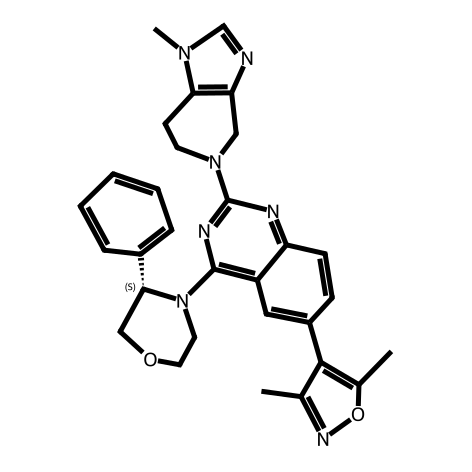 Cc1noc(C)c1-c1ccc2nc(N3CCc4c(ncn4C)C3)nc(N3CCOC[C@@H]3c3ccccc3)c2c1